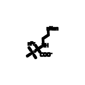 CCCCCCCCCCCNC(CCC)(C(=O)[O-])[N+](C)(C)C